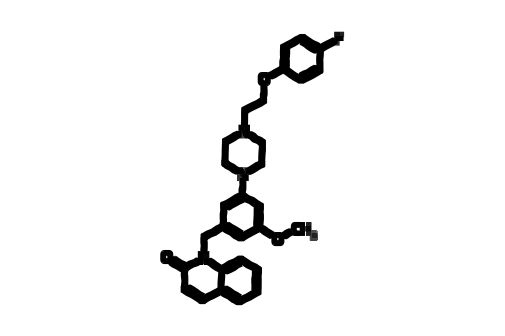 COc1cc(Cn2c(=O)ccc3ccccc32)cc(N2CCN(CCOc3ccc(F)cc3)CC2)c1